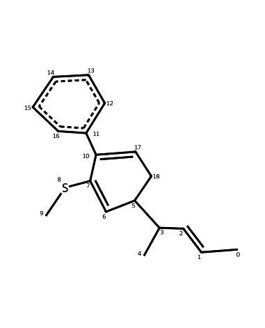 CC=CC(C)C1C=C(SC)C(c2ccccc2)=CC1